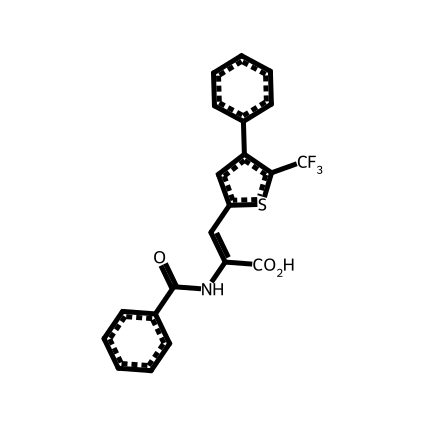 O=C(O)/C(=C\c1cc(-c2ccccc2)c(C(F)(F)F)s1)NC(=O)c1ccccc1